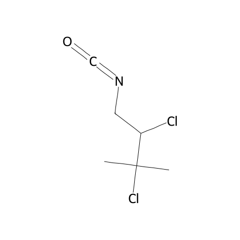 CC(C)(Cl)C(Cl)CN=C=O